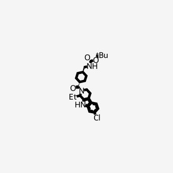 CCC1c2[nH]c3cc(Cl)ccc3c2CCN1C(=O)[C@H]1CC[C@H](CNC(=O)OC(C)(C)C)CC1